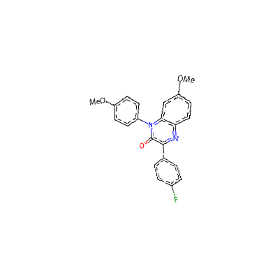 COc1ccc(-n2c(=O)c(-c3ccc(F)cc3)nc3ccc(OC)cc32)cc1